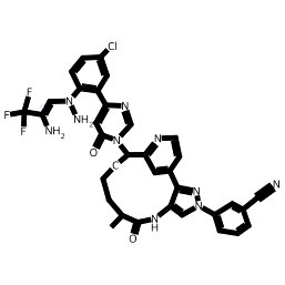 CC1CCCC(n2cnc(-c3cc(Cl)ccc3N(N)/C=C(\N)C(F)(F)F)cc2=O)c2cc(ccn2)-c2nn(-c3cccc(C#N)c3)cc2NC1=O